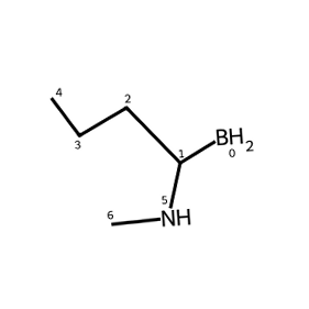 BC(CCC)NC